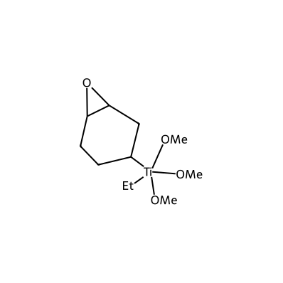 C[CH2][Ti]([O]C)([O]C)([O]C)[CH]1CCC2OC2C1